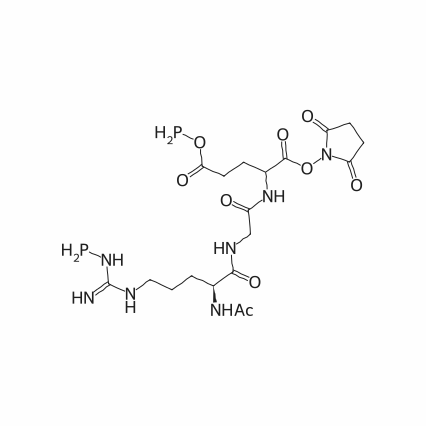 CC(=O)N[C@@H](CCCNC(=N)NP)C(=O)NCC(=O)NC(CCC(=O)OP)C(=O)ON1C(=O)CCC1=O